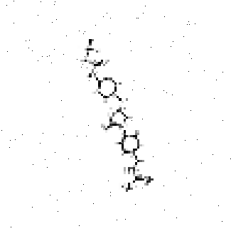 CC(C)(C)OC(=O)OC1CCN(CC2CN(c3ccc(CNC(=N)N)cc3)C(=O)O2)CC1